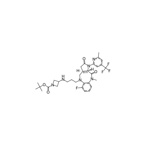 Cc1cc(C(F)(F)F)cc(N2C(=O)C[C@@H]3CN(CCCNC4CN(C(=O)OC(C)(C)C)C4)c4c(F)cccc4N(C)C(=O)[C@H]32)n1